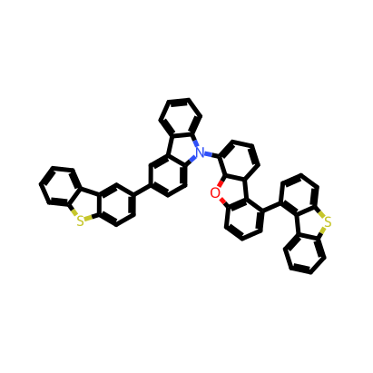 C1=CC2c3c(cccc3-c3cccc4sc5ccccc5c34)OC2C(n2c3ccccc3c3cc(-c4ccc5sc6ccccc6c5c4)ccc32)=C1